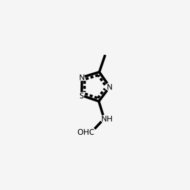 Cc1nsc(NC=O)n1